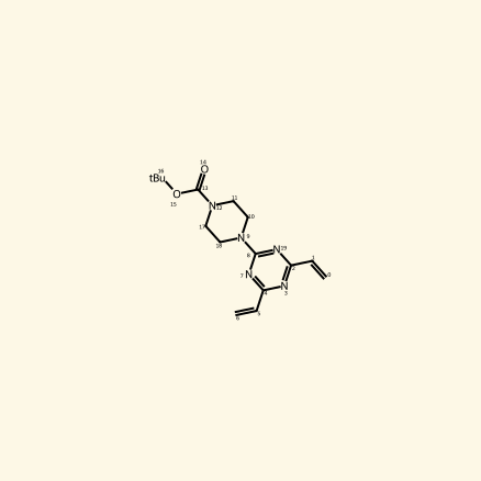 C=Cc1nc(C=C)nc(N2CCN(C(=O)OC(C)(C)C)CC2)n1